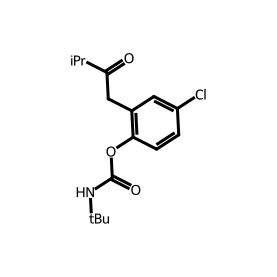 CC(C)C(=O)Cc1cc(Cl)ccc1OC(=O)NC(C)(C)C